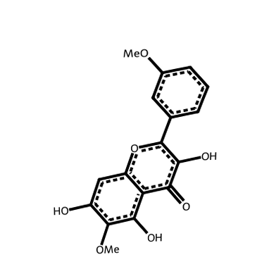 COc1cccc(-c2oc3cc(O)c(OC)c(O)c3c(=O)c2O)c1